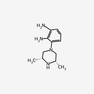 C[C@@H]1CN(c2cccc(N)c2N)C[C@H](C)N1